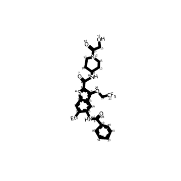 CCc1cc2sc(C(=O)NC3CCN(C(=O)CO)CC3)c(OCC(F)(F)F)c2cc1NC(=O)c1ccccc1